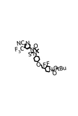 CC(C)(C)OC(=O)N1CCC(CCOC2CCC(N3C(=S)N(c4cnc(C#N)c(C(F)(F)F)c4)C(=O)C3(C)C)CC2)C(F)(F)C1